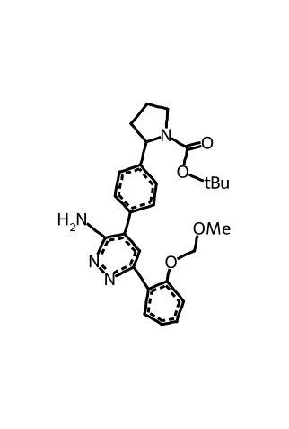 COCOc1ccccc1-c1cc(-c2ccc(C3CCCN3C(=O)OC(C)(C)C)cc2)c(N)nn1